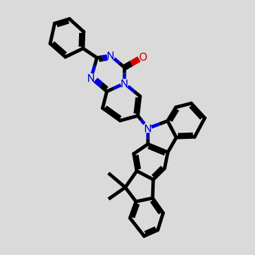 CC1(C)c2ccccc2-c2cc3c4ccccc4n(-c4ccc5nc(-c6ccccc6)nc(=O)n5c4)c3cc21